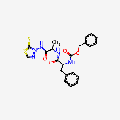 CC(NC(=O)C(Cc1ccccc1)NC(=O)OCc1ccccc1)C(=O)Nn1ncsc1=S